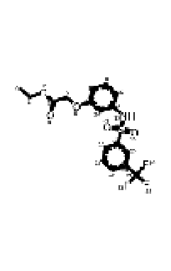 CCOC(=O)COc1cccc(NS(=O)(=O)c2cccc(C(F)(F)F)c2)c1